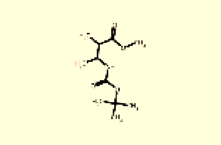 COC(=O)C(C)C(C)NC(=O)OC(C)(C)C